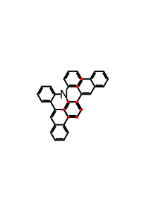 c1ccc(N(c2ccccc2-c2ccc3ccccc3c2)c2ccccc2-c2cc3ccccc3c3ccccc23)cc1